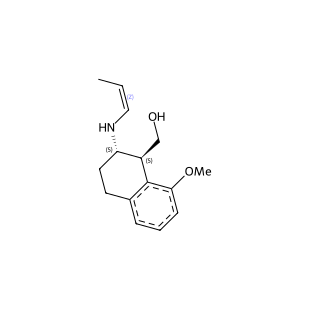 C/C=C\N[C@H]1CCc2cccc(OC)c2[C@@H]1CO